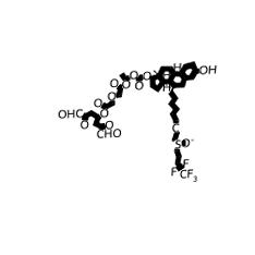 CC(OC(=O)COCC(=O)OC(CC(=O)C=O)CC(=O)C=O)OC(=O)O[C@H]1CC[C@H]2[C@@H]3[C@H](CCCCCCCCC[S+]([O-])CCCC(F)(F)C(F)(F)F)Cc4cc(O)ccc4[C@H]3CC[C@]12C